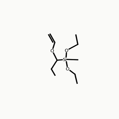 C=COC(CC)[Si](C)(OCC)OCC